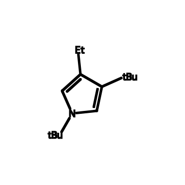 CCc1cn(C(C)(C)C)cc1C(C)(C)C